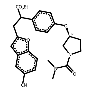 CCOC(=O)C(Cc1cc2cc(C#N)ccc2o1)c1ccc(O[C@H]2CCN(C(=O)N(C)C)C2)cc1